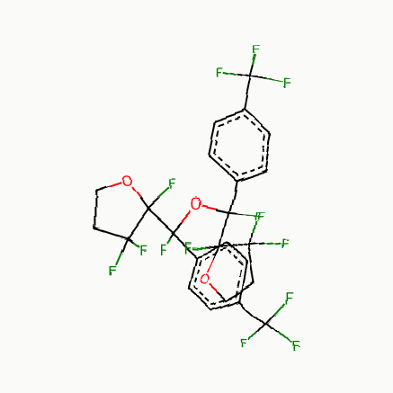 FC(F)(F)c1ccc(C(F)(OC(F)(c2ccc(C(F)(F)F)cc2)C2(F)OCCC2(F)F)C2(F)OCCC2(F)F)cc1